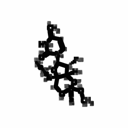 C=C1C=CN([C@@H]2O[C@]3(N=[N+]=[N-])COP(=S)(OC)O[C@H]3[C@H]2F)C(=O)N1